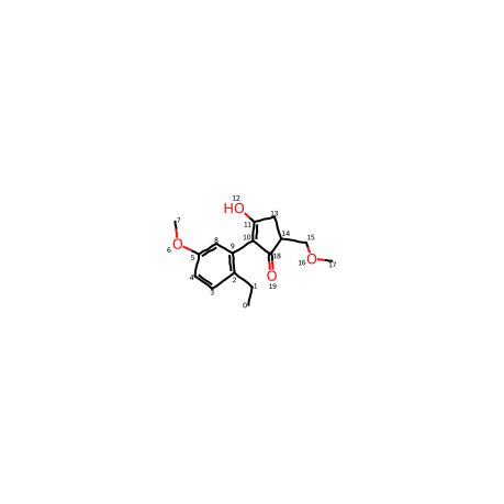 CCc1ccc(OC)cc1C1=C(O)CC(COC)C1=O